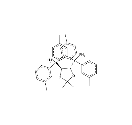 Cc1cccc(C(P)(c2cccc(C)c2)[C@@H]2OC(C)(C)O[C@H]2C(P)(c2cccc(C)c2)c2cccc(C)c2)c1